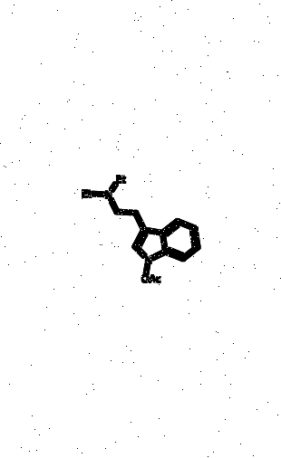 CCN(CC)CCc1cn(OC(C)=O)c2ccccc12